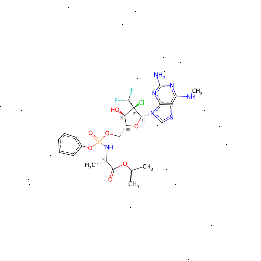 CNc1nc(N)nc2c1ncn2[C@@H]1O[C@H](COP(=O)(N[C@@H](C)C(=O)OC(C)C)Oc2ccccc2)[C@@H](O)[C@]1(Cl)C(F)F